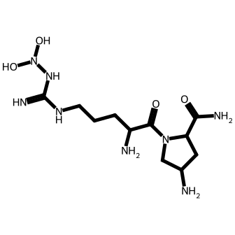 N=C(NCCCC(N)C(=O)N1CC(N)CC1C(N)=O)NN(O)O